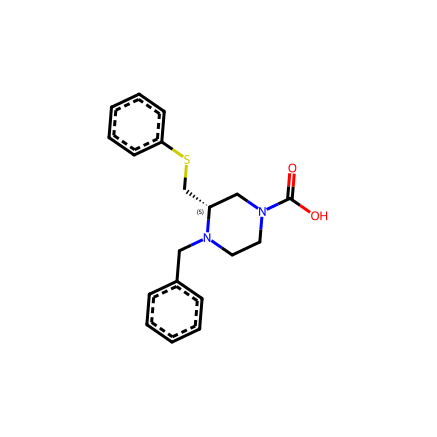 O=C(O)N1CCN(Cc2ccccc2)[C@H](CSc2ccccc2)C1